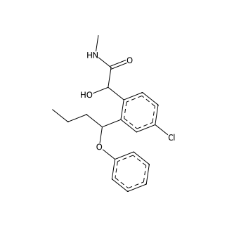 CCCC(Oc1ccccc1)c1cc(Cl)ccc1C(O)C(=O)NC